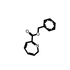 O=C(OCc1ccccc1)C1=NCC=CC=C1